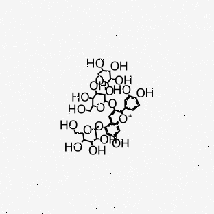 OCC1OC(Oc2cc(O)cc3[o+]c(-c4ccc(O)c(O)c4)c(OC4OC(CO)C(O)C(O)C4OC4OCC(O)C(O)C4O)cc23)C(O)C(O)C1O